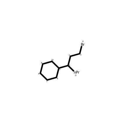 CCCC(CCBr)C1CCCCC1